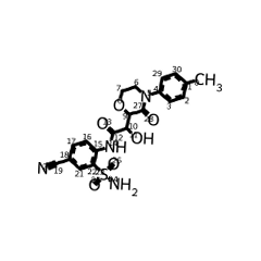 Cc1ccc(N2CCOC(C(O)C(=O)Nc3ccc(C#N)cc3S(N)(=O)=O)C2=O)cc1